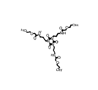 O=C(COCCO)NCCCn1c(=O)n(CCCNC(=O)COCCO)c(=O)n(CCCNC(=O)COCCO)c1=O